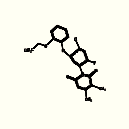 CCOC(=O)COc1ccccc1Oc1cc(-n2c(=O)cc(C(Cl)(Cl)Cl)n(C)c2=O)c(F)cc1Cl